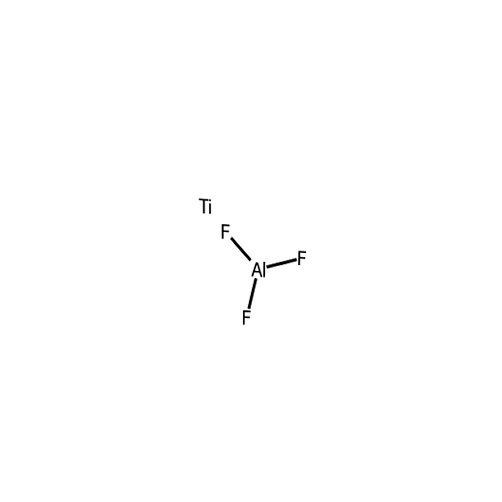 [F][Al]([F])[F].[Ti]